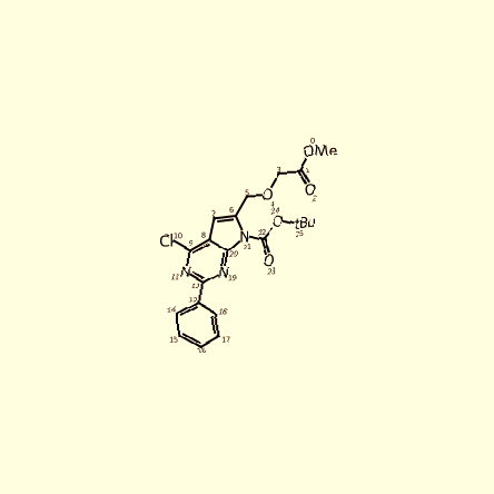 COC(=O)COCc1cc2c(Cl)nc(-c3ccccc3)nc2n1C(=O)OC(C)(C)C